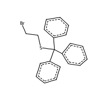 BrCCSC(c1ccccc1)(c1ccccc1)c1ccccc1